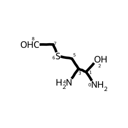 NC(O)C(N)CSCC=O